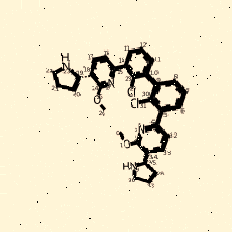 COc1nc(-c2cccc(-c3cccc(-c4ccc([C@@H]5CCCN5)c(OC)n4)c3Cl)c2Cl)ccc1C1CCCN1